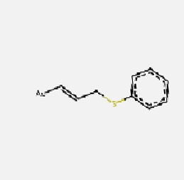 CC(=O)C=CCSc1ccccc1